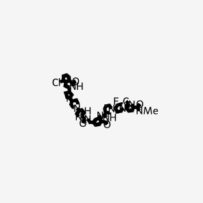 CNC(=O)c1ccc(N2CCC(N3CCCC(c4nc5cc(CNC(=O)c6ccc(N7CCC(N8CCC(c9cc%10c(Cl)cccc%10c(=O)[nH]9)C8)CC7)cn6)ccc5c(=O)[nH]4)C3)CC2)c(C(F)(F)F)n1